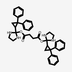 O=C(CCC(=O)OC1(C2CC2(c2ccccc2)c2ccccc2)NCCN1)OC1(C2CC2(c2ccccc2)c2ccccc2)NCCN1